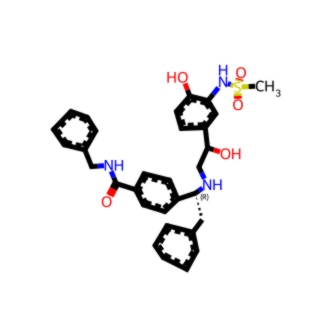 CS(=O)(=O)Nc1cc(C(O)CN[C@H](Cc2ccccc2)c2ccc(C(=O)NCc3ccccc3)cc2)ccc1O